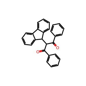 O=C(c1ccccc1)C(C(=O)c1ccccc1)C1c2ccccc2-c2ccccc21